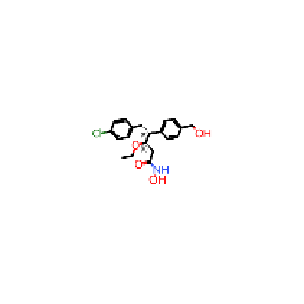 CCO[C@H](CC(=O)NO)[C@H](Cc1ccc(Cl)cc1)c1ccc(CO)cc1